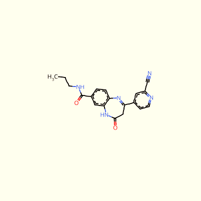 CCCNC(=O)c1ccc2c(c1)NC(=O)CC(c1ccnc(C#N)c1)=N2